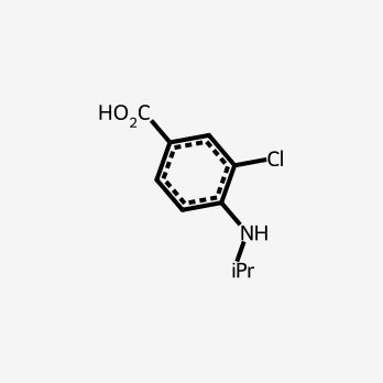 CC(C)Nc1ccc(C(=O)O)cc1Cl